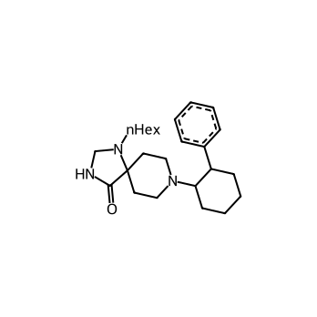 CCCCCCN1CNC(=O)C12CCN(C1CCCCC1c1ccccc1)CC2